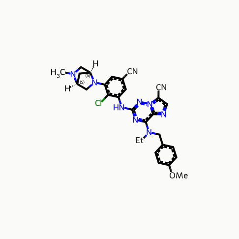 CCN(Cc1ccc(OC)cc1)c1nc(Nc2cc(C#N)cc(N3C[C@@H]4C[C@H]3CN4C)c2Cl)nn2c(C#N)cnc12